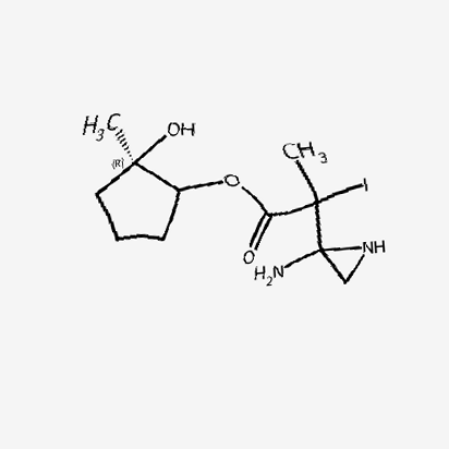 CC(I)(C(=O)OC1CCC[C@@]1(C)O)C1(N)CN1